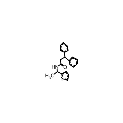 CC(NC(=O)CC(c1ccccc1)c1ccccc1)c1cccs1